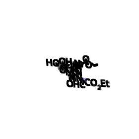 C=CCOC(=O)c1cnn(-c2nc(N/C=C(\C=O)C(=O)OCC)c3ncn([C@@H]4O[C@H](CO)[C@@H](O)[C@H]4O)c3n2)c1